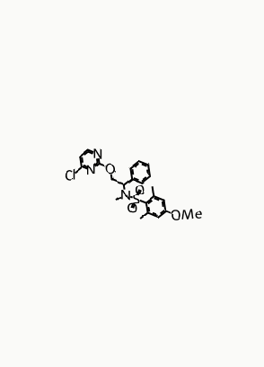 COc1cc(C)c(S(=O)(=O)N(C)C(COc2nccc(Cl)n2)c2ccccc2)c(C)c1